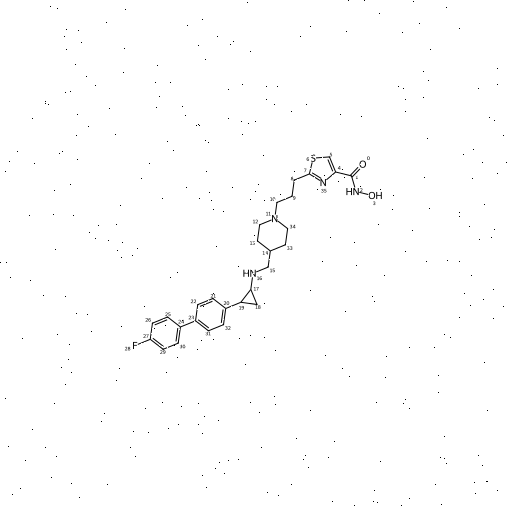 O=C(NO)c1csc(CCCN2CCC(CNC3CC3c3ccc(-c4ccc(F)cc4)cc3)CC2)n1